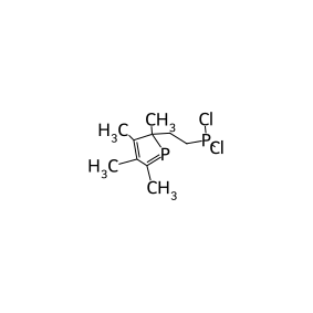 CC1=PC(C)(CCP(Cl)Cl)C(C)=C1C